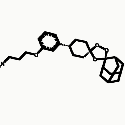 NCCCOc1cccc([C@H]2CC[C@]3(CC2)OO[C@]2(O3)C3CC4CC(C3)CC2C4)c1